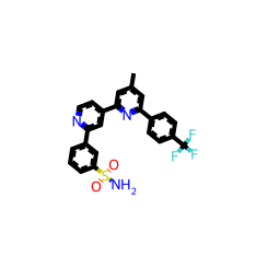 Cc1cc(-c2ccc(C(F)(F)F)cc2)nc(-c2ccnc(-c3cccc(S(N)(=O)=O)c3)c2)c1